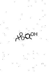 CCC(C)(C)C(=O)Oc1ccc(O)c(C)c1